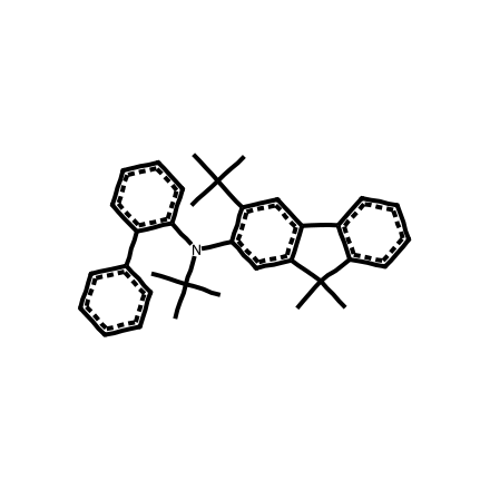 CC(C)(C)c1cc2c(cc1N(c1ccccc1-c1ccccc1)C(C)(C)C)C(C)(C)c1ccccc1-2